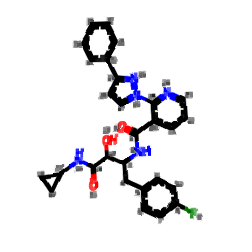 O=C(NC(Cc1ccc(F)cc1)C(O)C(=O)NC1CC1)c1cccnc1-n1ccc(-c2ccccc2)n1